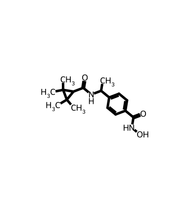 CC(NC(=O)C1C(C)(C)C1(C)C)c1ccc(C(=O)NO)cc1